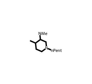 CCCCCN1CCC(C)C(NC)C1